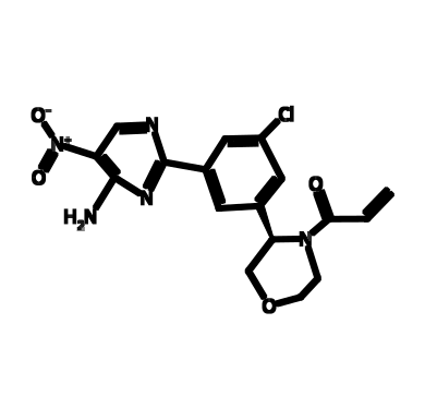 C=CC(=O)N1CCOC[C@H]1c1cc(Cl)cc(-c2ncc([N+](=O)[O-])c(N)n2)c1